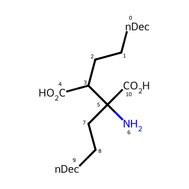 CCCCCCCCCCCCC(C(=O)O)C(N)(CCCCCCCCCCCC)C(=O)O